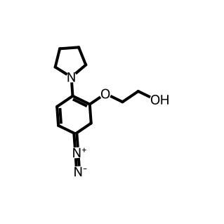 [N-]=[N+]=C1C=CC(N2CCCC2)=C(OCCO)C1